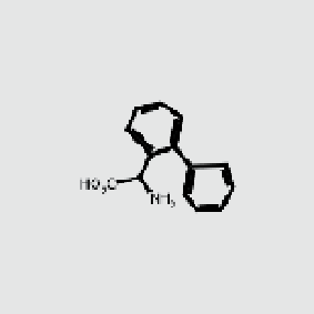 N[C@@H](C(=O)O)c1ccccc1-c1ccccc1